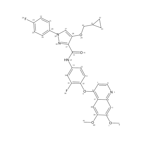 COc1cc2nccc(Oc3ccc(NC(=O)c4nn(-c5ccc(F)cc5)cc4OCC4CC4)cc3F)c2cc1OC